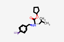 CC(C)C[C@H](NCc1ccc([123I])cc1)C(=O)OC1CCCC1